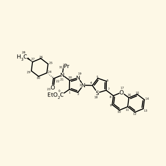 CCOC(=O)c1cn(-c2ccc(C3=C=Cc4ccccc4O3)s2)nc1N(C(=O)[C@H]1CC[C@H](C)CC1)C(C)C